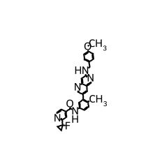 COc1ccc(CNc2cc3ncc(-c4cc(NC(=O)c5ccnc(C6(F)CC6)c5)ccc4C)cc3cn2)cc1